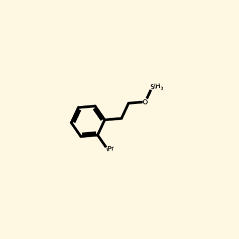 CC(C)c1ccccc1CCO[SiH3]